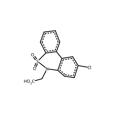 O=C(O)CN1c2ccc(Cl)cc2-c2ccccc2S1(=O)=O